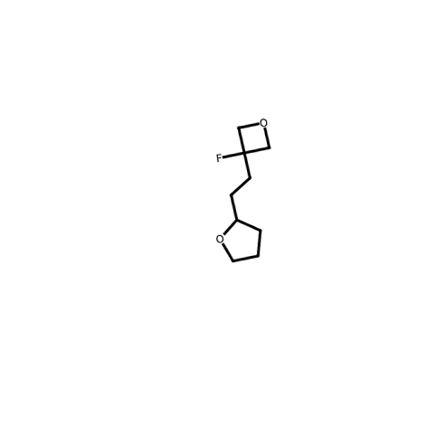 FC1(CCC2CCCO2)COC1